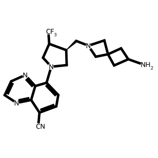 N#Cc1ccc(N2CC(C(F)(F)F)[C@@H](CN3CC4(CC(N)C4)C3)C2)c2nccnc12